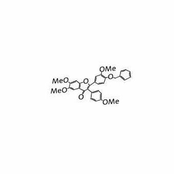 COc1ccc(-c2c(-c3ccc(OCc4ccccc4)c(OC)c3)oc3cc(OC)c(OC)cc3c2=O)cc1